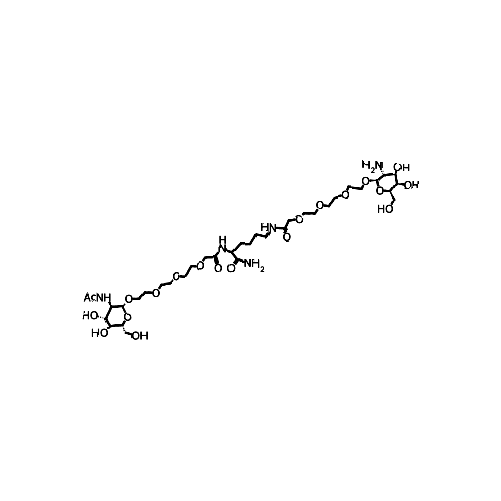 CC(=O)N[C@H]1[C@H](OCCOCCOCCOCC(=O)NC(CCCCNC(=O)COCCOCCOCCO[C@@H]2O[C@H](CO)[C@H](O)[C@H](O)[C@H]2N)C(N)=O)O[C@H](CO)[C@H](O)[C@@H]1O